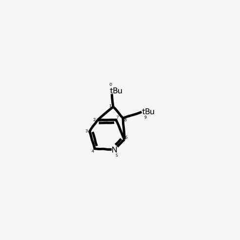 CC(C)(C)C1c2ccnc(c2)C1C(C)(C)C